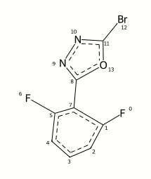 Fc1cccc(F)c1-c1nnc(Br)o1